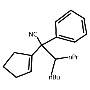 CCCCC(CCC)C(C#N)(C1=CCCC1)c1ccccc1